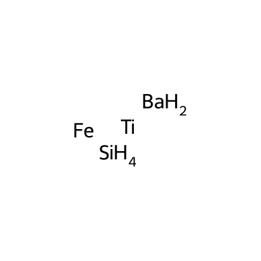 [BaH2].[Fe].[SiH4].[Ti]